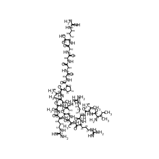 CC[C@H](C)[C@H](N)C(=O)N[C@H](C(=O)N[C@@H](CCCNC(=N)N)C(=O)N[C@@H](CCCNC(=N)N)C(=O)N[C@@H](C)C(=O)N[C@@H](CC(=O)O)C(=O)N[C@@H](CCCNC(=N)N)C(=O)N[C@@H](C)C(=O)N[C@@H](C)C(=O)N[C@H](C(=O)N1CCC[C@H]1C(=O)NCC(=O)NCC(=O)NCC(=O)NCC(=O)N[C@@H](CCCNC(=N)N)C(=O)O)C(C)C)C(C)C